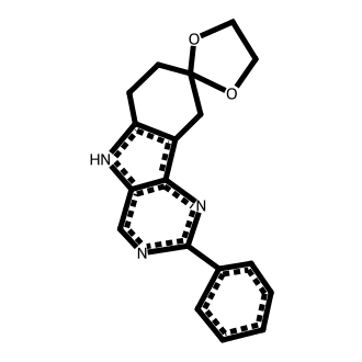 c1ccc(-c2ncc3[nH]c4c(c3n2)CC2(CC4)OCCO2)cc1